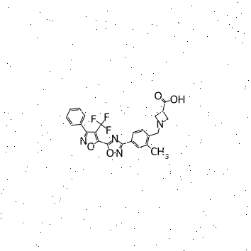 Cc1cc(-c2noc(-c3onc(-c4ccccc4)c3C(F)(F)F)n2)ccc1CN1CC(C(=O)O)C1